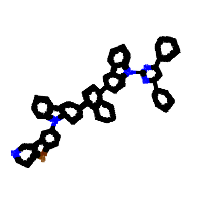 c1ccc(-c2cc(-c3ccccc3)nc(-n3c4ccccc4c4cc(-c5ccc(-c6ccc7c(c6)c6ccccc6n7-c6ccc7sc8ccncc8c7c6)c6ccccc56)ccc43)n2)cc1